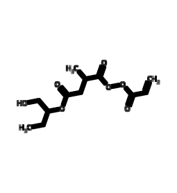 C=CC(=O)OOC(=O)C(C)CC(=O)OC(CC)CO